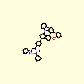 C1=C(c2ccc(-c3ccc(-n4c5ccccc5c5ccc6c(c54)-c4ccccc4Oc4ccccc4-6)cc3)cc2)NC(c2ccccc2)NC1c1ccccc1